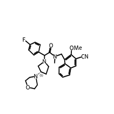 COc1c(C#N)cc2ccccc2c1CN(C)C(=O)C(c1ccc(F)cc1)N1CC[C@H](N2CCOCC2)C1